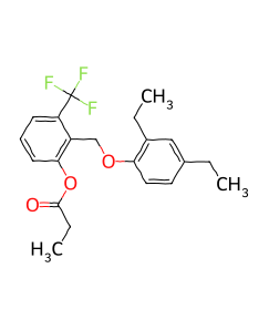 CCC(=O)Oc1cccc(C(F)(F)F)c1COc1ccc(CC)cc1CC